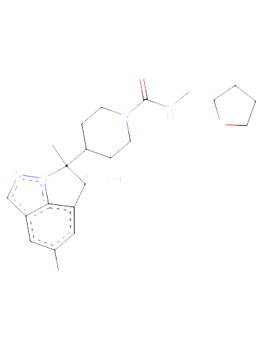 CC1(C2CCN(C(=O)NC[C@@H]3CCCO3)CC2)[C@H](O)c2cc(Cl)cc3cnn1c23